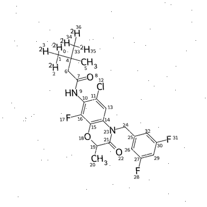 [2H]C([2H])([2H])C(C)(CC(=O)Nc1c(Cl)cc2c(c1F)OC(C)C(=O)N2Cc1cc(F)cc(F)c1)C([2H])([2H])[2H]